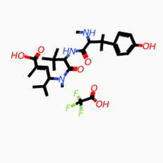 CNC(C(=O)NC(C(=O)N(C)C(/C=C(\C)C(=O)O)C(C)C)C(C)(C)C)C(C)(C)c1ccc(O)cc1.O=C(O)C(F)(F)F